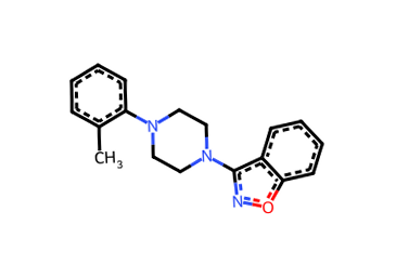 Cc1ccccc1N1CCN(c2noc3ccccc23)CC1